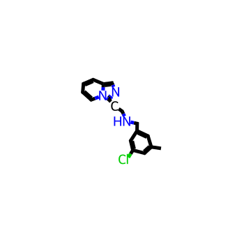 Cc1cc(Cl)cc(CNCCc2ncc3ccccn23)c1